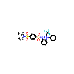 CN(C)S(=O)(=O)c1ccc(S(=O)(=O)Nc2ccccc2N(CC(F)(F)F)C2CCCCC2)cc1